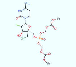 CC(C)OC(=O)OCOP(=O)(OCOC(=O)OC(C)C)OC[C@@]1(CCl)O[C@@H](N2C=CC(N)NC2=O)[C@H](F)[C@@H]1O